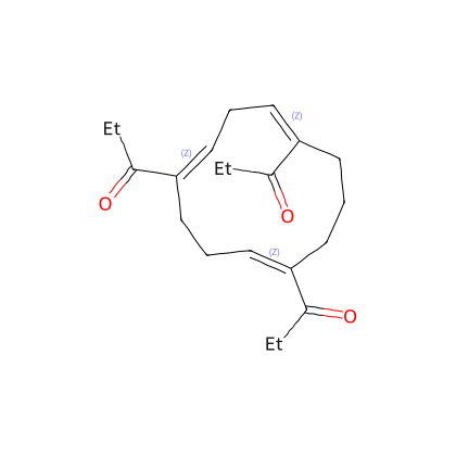 CCC(=O)/C1=C\C/C=C(\C(=O)CC)CCC/C(C(=O)CC)=C/CC1